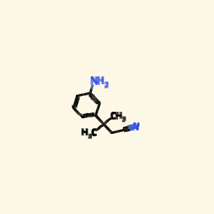 CC(C)(CC#N)c1cccc(N)c1